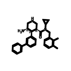 Cc1cccc(CN(C(=O)[C@H]2CNC[C@@H](N)[C@@H]2c2cccc(-c3ccccc3)c2)C2CC2)c1C